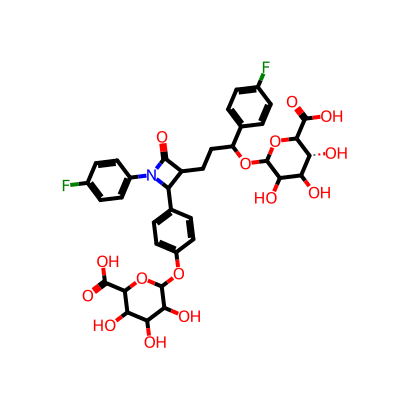 O=C(O)C1OC(Oc2ccc(C3C(CCC(OC4OC(C(=O)O)[C@H](O)C(O)C4O)c4ccc(F)cc4)C(=O)N3c3ccc(F)cc3)cc2)C(O)C(O)C1O